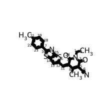 CCN1C(=O)C(C#N)=C(C)/C(=C/c2cc3sc(-c4ccc(C)cc4)nc3s2)C1=O